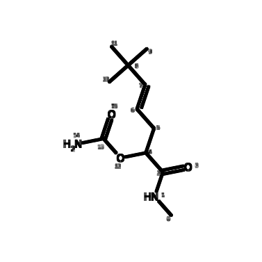 CNC(=O)C(CC=CC(C)(C)C)OC(N)=O